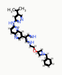 CC(C)c1cnnc(Nc2ccc3ncc(/C(C=N)=C/NCCOC4CN(Cc5ccccc5)C4)cc3n2)c1